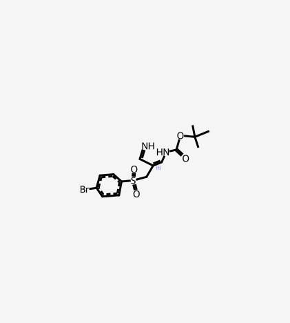 CC(C)(C)OC(=O)N/C=C(\C=N)CS(=O)(=O)c1ccc(Br)cc1